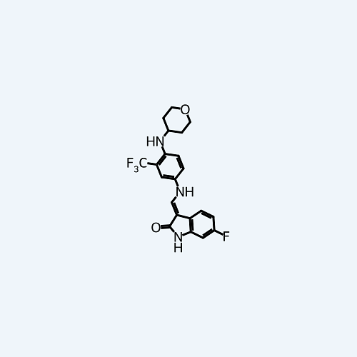 O=C1Nc2cc(F)ccc2C1=CNc1ccc(NC2CCOCC2)c(C(F)(F)F)c1